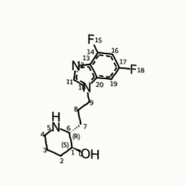 O[C@H]1CCCN[C@@H]1CCCn1cnc2c(F)cc(F)cc21